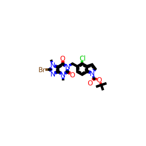 Cn1c(Br)nc2c1c(=O)n(Cc1ccc3c(ccn3C(=O)OC(C)(C)C)c1Cl)c(=O)n2C